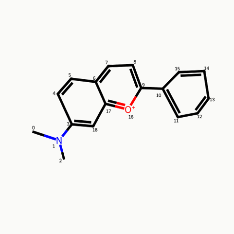 CN(C)c1ccc2ccc(-c3ccccc3)[o+]c2c1